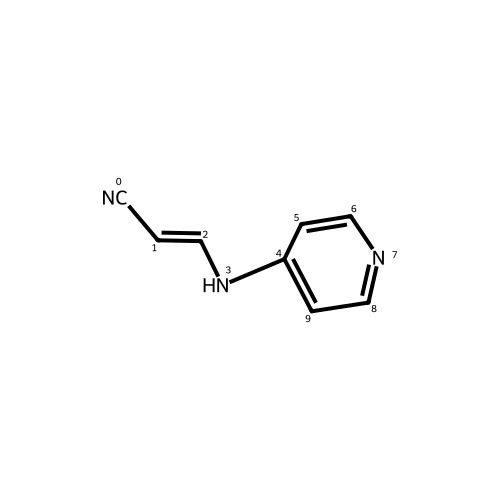 N#CC=CNc1ccncc1